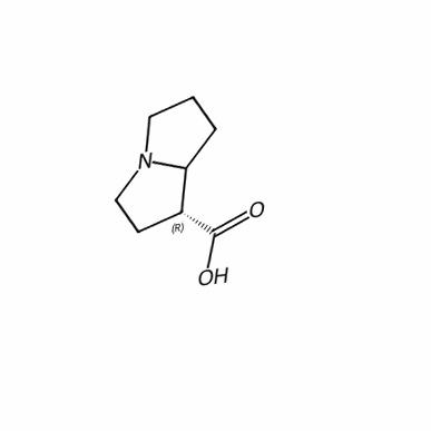 O=C(O)[C@@H]1CCN2CCCC12